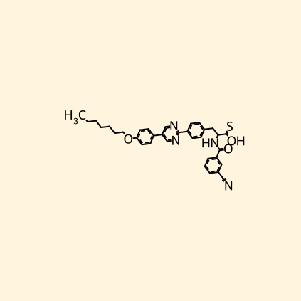 CCCCCCCOc1ccc(-c2cnc(-c3ccc(CC(NC(=O)c4cccc(C#N)c4)C(O)=S)cc3)nc2)cc1